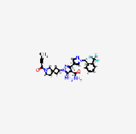 CC#CC(=O)N1CCC2(CC(n3nc(-c4cnn(Cc5ccccc5C(F)(F)F)c4)c(C(N)=O)c3N)C2)C1